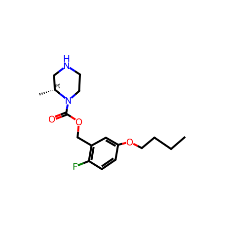 CCCCOc1ccc(F)c(COC(=O)N2CCNC[C@H]2C)c1